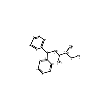 CC(NC(c1ccccc1)c1ccccc1)[C@@H](O)CO